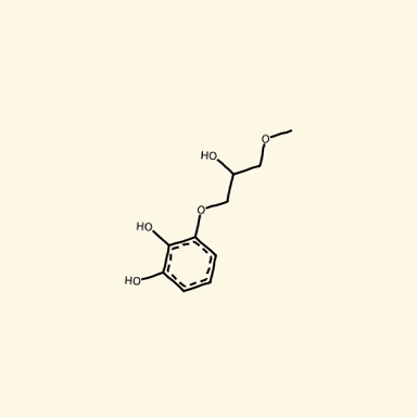 COCC(O)COc1cccc(O)c1O